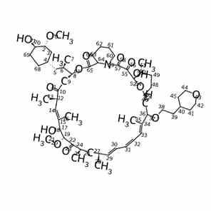 CO[C@@H]1C[C@H](C[C@@H](C)[C@@H]2CC(=O)[C@H](C)/C=C(\C)[C@@H](O)[C@@H](OC)C(=O)[C@H](C)C[C@H](C)/C=C/C=C/C=C(\C)C(OCCC3CCOCC3)C[C@@H]3CC[C@@H](C)[C@@](O)(O3)C(=O)C(=O)N3CCCCC3C(=O)O2)CC[C@H]1O